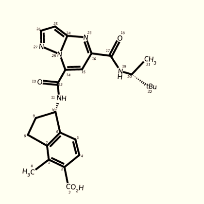 Cc1c(C(=O)O)ccc2c1CC[C@@H]2NC(=O)c1cc(C(=O)N[C@H](C)C(C)(C)C)nc2ccnn12